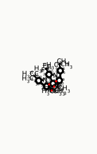 CC(C)(C)c1ccc2c3ccc(C(C)(C)C)cc3n(-c3cc(C(F)(F)F)cc(-n4c5cc(C(C)(C)C)ccc5c5ccc(C(C)(C)C)cc54)c3-c3cc(F)cc(F)c3)c2c1